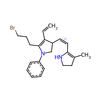 C=CC1=C(CCCBr)N(c2ccccc2)CC1/C=C\C1=C(C)CCN1